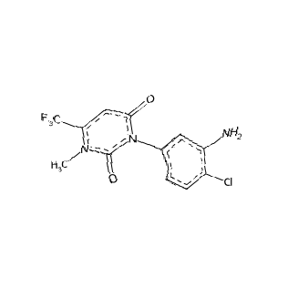 Cn1c(C(F)(F)F)cc(=O)n(-c2ccc(Cl)c(N)c2)c1=O